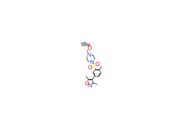 Cc1ccc(-c2c(C)noc2C)cc1S(=O)(=O)N1CCN(COC(C)(C)C)CC1